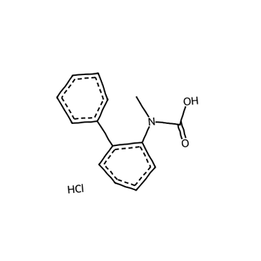 CN(C(=O)O)c1ccccc1-c1ccccc1.Cl